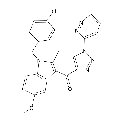 COc1ccc2c(c1)c(C(=O)c1cn(-c3cccnn3)nn1)c(C)n2Cc1ccc(Cl)cc1